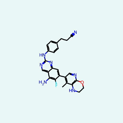 Cc1c(-c2cc3nc(Nc4ccc(CCC#N)cc4)ncc3c(N)c2F)cnc2c1NCCO2